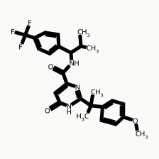 COc1ccc(C(C)(C)c2nc(C(=O)NC(c3ccc(C(F)(F)F)cc3)C(C)C)cc(=O)[nH]2)cc1